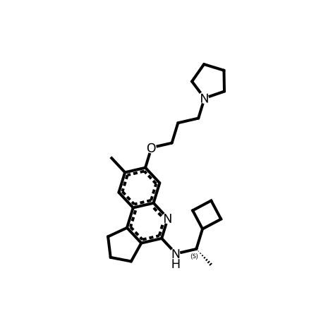 Cc1cc2c3c(c(N[C@@H](C)C4CCC4)nc2cc1OCCCN1CCCC1)CCC3